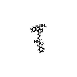 Nc1nc2ccccc2c2c1ncn2CCCCNC(=O)Oc1ccccc1